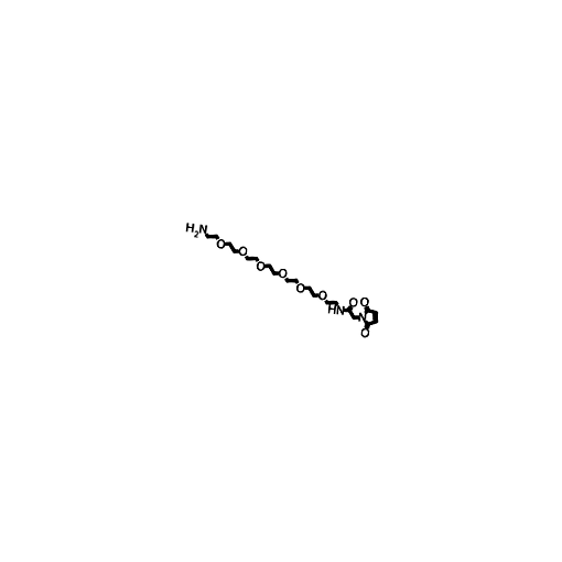 NCCOCCOCCOCCOCCOCCOCCNC(=O)CN1C(=O)C=CC1=O